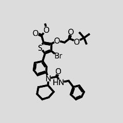 COC(=O)c1sc(-c2cccc(N(C(=O)NCc3ccccc3)C3CCCCC3)c2)c(Br)c1OCC(=O)OC(C)(C)C